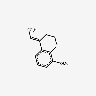 COc1cccc2c1OCC/C2=C\C(=O)O